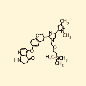 Cc1cc(-c2cn(COCC[Si](C)(C)C)c(C3COc4ccc(Oc5ccnc6c5C(=O)CCN6)cc4C3)n2)n(C)n1